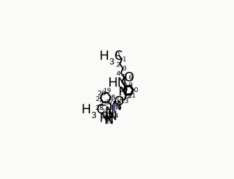 CCCCCC(=O)Nc1cccc(CO/N=C(\C2CCCCC2)n2nnnc2C)n1